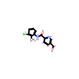 Cc1c(Br)cccc1NC(=O)c1ccc(C=O)cn1